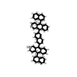 C1=c2c(-c3ccc4cc(-c5c6ccccc6c(-c6cccc7ccccc67)c6ccncc56)ccc4c3)c3ccccc3c(-c3cccc4ccccc34)c2=CCN1